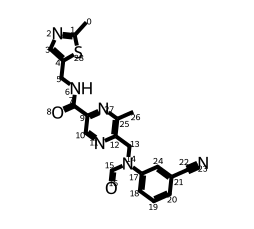 Cc1ncc(CNC(=O)c2cnc(CN(C=O)c3cccc(C#N)c3)c(C)n2)s1